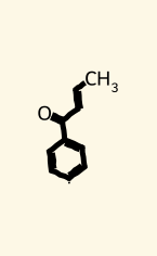 CC=CC(=O)c1cc[c]cc1